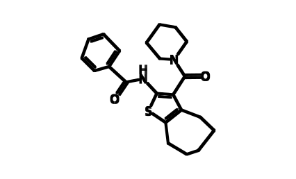 O=C(Nc1sc2c(c1C(=O)N1CCCCC1)CCCCC2)c1ccccc1